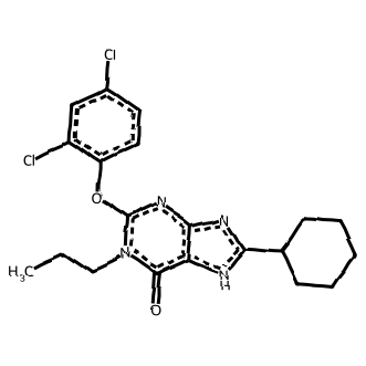 CCCn1c(Oc2ccc(Cl)cc2Cl)nc2nc(C3CCCCC3)[nH]c2c1=O